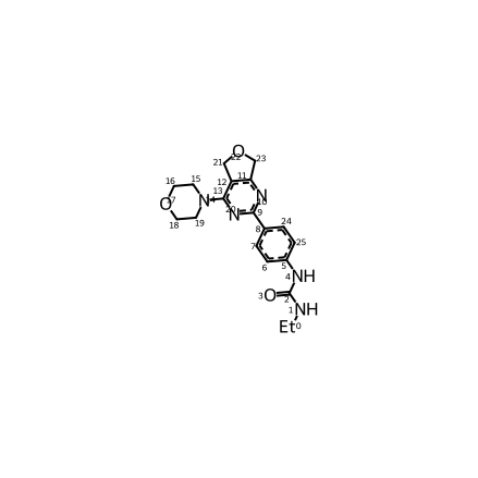 CCNC(=O)Nc1ccc(-c2nc3c(c(N4CCOCC4)n2)COC3)cc1